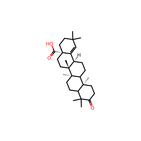 CC1(C)C=C2[C@H]3CCC4[C@@]5(C)CCC(=O)C(C)(C)C5CC[C@@]4(C)[C@]3(C)CC[C@@]2(C(=O)O)CC1